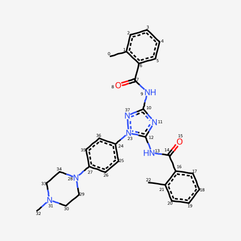 Cc1ccccc1C(=O)Nc1nc(NC(=O)c2ccccc2C)n(-c2ccc(N3CCN(C)CC3)cc2)n1